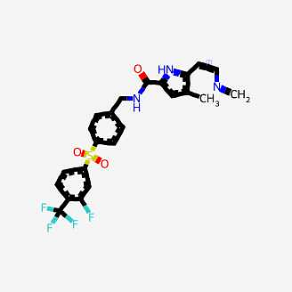 C=N/C=C\c1[nH]c(C(=O)NCc2ccc(S(=O)(=O)c3ccc(C(F)(F)F)c(F)c3)cc2)cc1C